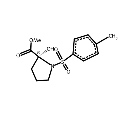 COC(=O)[C@]1(O)CCCN1S(=O)(=O)c1ccc(C)cc1